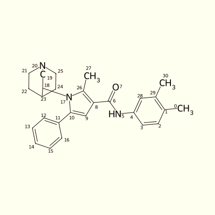 Cc1ccc(NC(=O)c2cc(-c3ccccc3)n(C3CN4CCC3CC4)c2C)cc1C